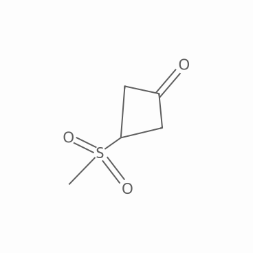 CS(=O)(=O)C1CC(=O)C1